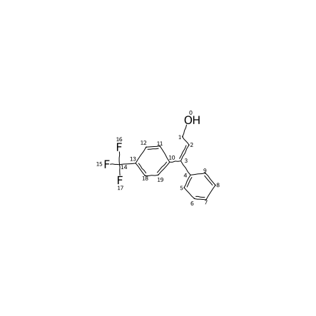 OC/C=C(/c1ccccc1)c1ccc(C(F)(F)F)cc1